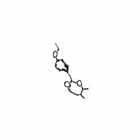 CCOc1ccc(C2OCC(C)C(C)O2)cc1